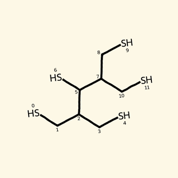 SCC(CS)C(S)C(CS)CS